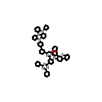 c1ccc(-c2cc(-c3cccc(-c4ccc(N5c6ccccc6B6c7ccccc7N(c7ccccc7)c7cccc5c76)cc4)c3)nc(-c3cc(-c4nc(-c5ccccc5)nc(-c5ccccc5)n4)ccc3-n3c4ccccc4c4c5sc6ccccc6c5ccc43)n2)cc1